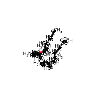 CCC(=O)SCCNC(=O)CCNC(=O)[C@H](O)C(C)(C)COP(=O)(O)OP(=O)(O)OC[C@H]1O[C@@H](n2cnc3c(N)ncnc32)[C@H](O)[C@@H]1OP(=O)(O)O.C[C@@H](C(=O)O)C(=O)SCCNC(=O)CCNC(=O)[C@H](O)C(C)(C)COP(=O)(O)OP(=O)(O)OC[C@H]1O[C@@H](n2cnc3c(N)ncnc32)[C@H](O)[C@@H]1OP(=O)(O)O